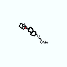 COCCOc1ccc2cc(C3=NC4CCC(C3)C4C)ccc2c1